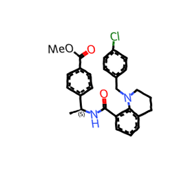 COC(=O)c1ccc([C@H](C)NC(=O)c2cccc3c2N(Cc2ccc(Cl)cc2)CCC3)cc1